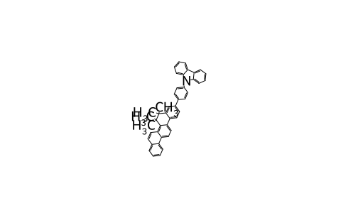 CC1(C)c2cc(-c3ccc(-n4c5ccccc5c5ccccc54)cc3)ccc2-c2ccc3c(ccc4ccccc43)c2C1(C)C